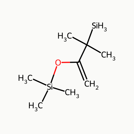 C=C(O[Si](C)(C)C)C(C)(C)[SiH3]